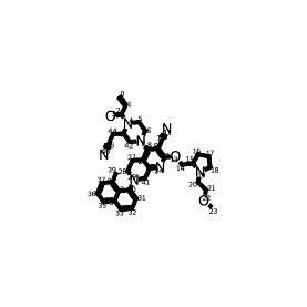 C=CC(=O)N1CCN(c2c(C#N)c(OCC3CCCN3CCOC)nc3c2CCN(c2cccc4cccc(C)c24)C3)CC1CC#N